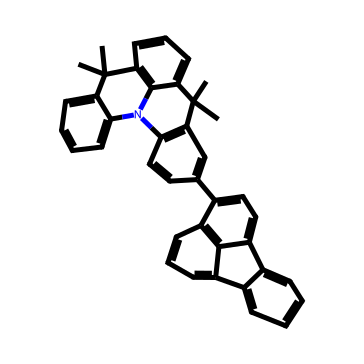 CC1(C)c2ccccc2N2c3ccc(-c4ccc5c6c(cccc46)-c4ccccc4-5)cc3C(C)(C)c3cccc1c32